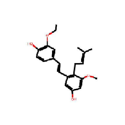 CCOc1cc(/C=C/c2cc(O)cc(OC)c2CC=C(C)C)ccc1O